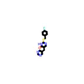 O=c1[nH]c(SCc2ccc(F)cc2)ncc1Cc1cncnc1